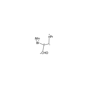 CCCCC(Br)C=O.[Mn]